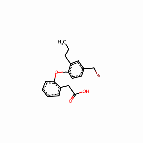 CCCc1cc(CBr)ccc1Oc1ccccc1CC(=O)O